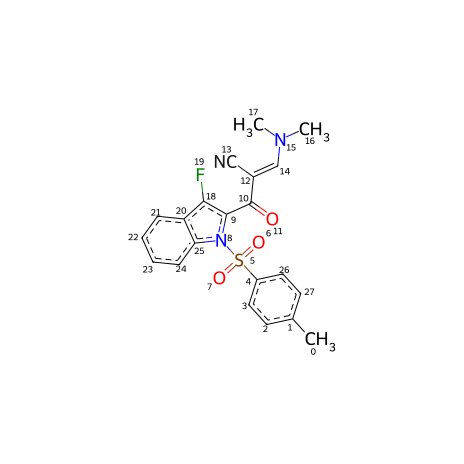 Cc1ccc(S(=O)(=O)n2c(C(=O)C(C#N)=CN(C)C)c(F)c3ccccc32)cc1